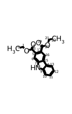 CCOC(=O)c1cc2[nH]c3ccccc3c2cc1C(=O)OCC